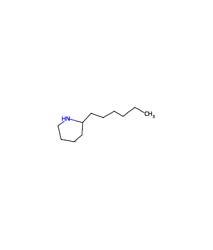 CCCCCCC1C[CH]CCN1